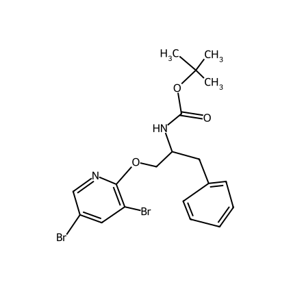 CC(C)(C)OC(=O)NC(COc1ncc(Br)cc1Br)Cc1ccccc1